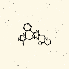 Cc1ncn2c1Cn1nc(CN3CCCC3=O)nc1-c1ccccc1-2